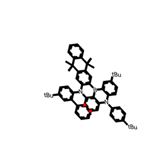 Cc1cc2c3c(c1)N(c1ccc(C(C)(C)C)cc1-c1ccccc1)c1cc4c(cc1B3c1cc(C(C)(C)C)ccc1N2c1ccc(C(C)(C)C)cc1)C(C)(C)c1ccccc1C4(C)C